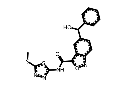 CSc1nnc(NC(=O)c2onc3ccc(C(O)c4ccccc4)cc23)s1